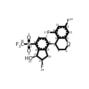 O=S(=O)(c1ccc([C@@H]2CCOc3cc(F)cc(F)c32)c2c1[C@H](O)[C@H](F)C2)C(F)(F)F